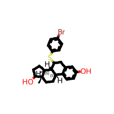 C[C@]12CC[C@@H]3c4ccc(O)cc4CC(Sc4ccc(Br)cc4)[C@H]3[C@@H]1CCC2O